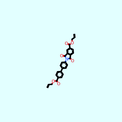 C=CCOC(=O)c1ccc(-c2ccc(N3C(=O)c4ccc(C(=O)OCC=C)cc4C3=O)cc2)cc1